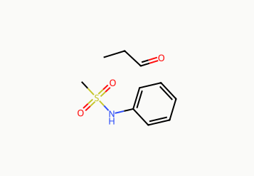 CCC=O.CS(=O)(=O)Nc1ccccc1